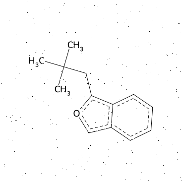 CC(C)(C)Cc1occ2ccccc12